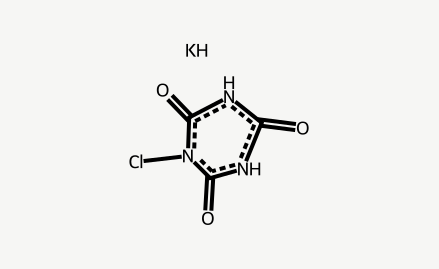 O=c1[nH]c(=O)n(Cl)c(=O)[nH]1.[KH]